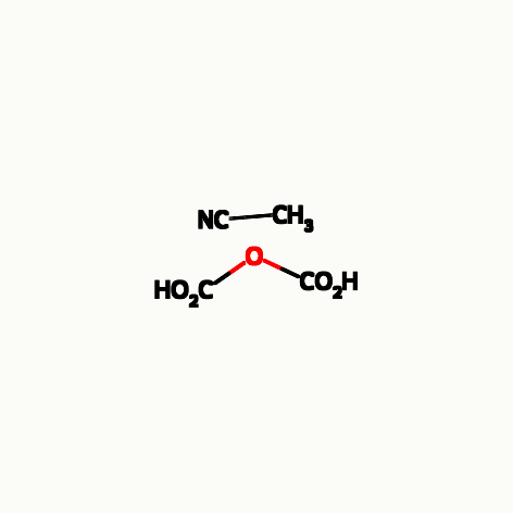 CC#N.O=C(O)OC(=O)O